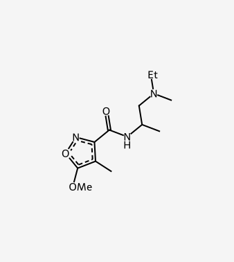 CCN(C)CC(C)NC(=O)c1noc(OC)c1C